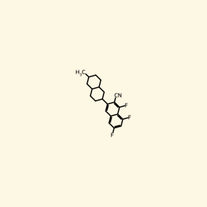 CC1CCC2CC(c3cc4cc(F)cc(F)c4c(F)c3C#N)CCC2C1